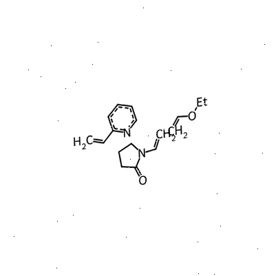 C=CN1CCCC1=O.C=COCC.C=Cc1ccccn1